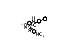 O=C(Nc1ccc(O)c(NS(=O)(=O)c2ccc([N+](=O)[O-])cc2)c1)c1ccc(-c2ccccc2)cc1